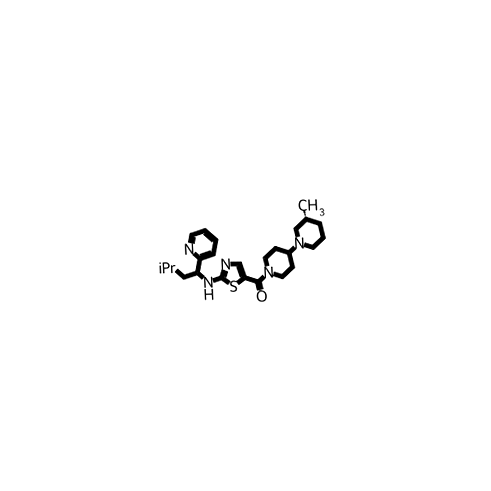 CC(C)CC(Nc1ncc(C(=O)N2CCC(N3CCC[C@@H](C)C3)CC2)s1)c1ccccn1